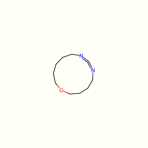 C1=NCCCCCOCCCCN=1